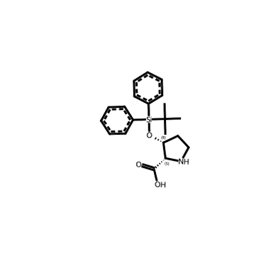 CC(C)(C)[Si](O[C@@H]1CCN[C@@H]1C(=O)O)(c1ccccc1)c1ccccc1